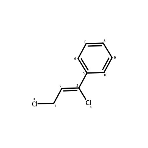 ClC/C=C(\Cl)c1ccccc1